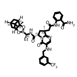 CC[C@H](NC(=O)[C@@H]1C[C@@](C)(CC(=O)Nc2ccccc2C(N)=O)c2ncc(NCc3cccc(C(F)(F)F)c3)c(=O)n21)B1O[C@@H]2C[C@@H]3C[C@@H](C3(C)C)[C@]2(C)O1